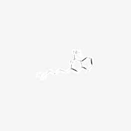 CCCCCc1cc2ncccc2c(N)n1